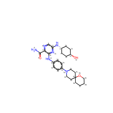 NC(=O)c1ncc(N[C@H]2CC[C@H](O)CC2)nc1Nc1ccc(N2CCC3(CCCCO3)CC2)cc1